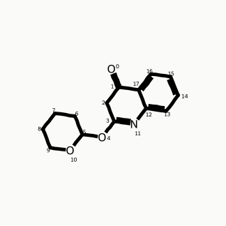 O=C1CC(OC2CCCCO2)=Nc2ccccc21